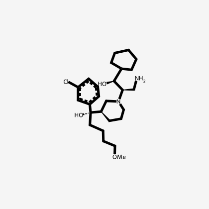 COCCCC[C@@](O)(c1cccc(Cl)c1)[C@@H]1CCCN([C@H](CN)[C@@H](O)C2CCCCC2)C1